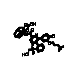 CN(C)CCCOc1cc(-c2nc(C(=O)NC3(OC(=O)O)C4CC5CC(C4)CC3C5)ccc2-c2ccccc2C(F)(F)F)ccc1Cl.Cl